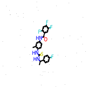 Cc1cc(NC(=O)c2cc(F)c(F)cc2F)ccc1NC(=S)NC(C)c1ccc(F)cc1